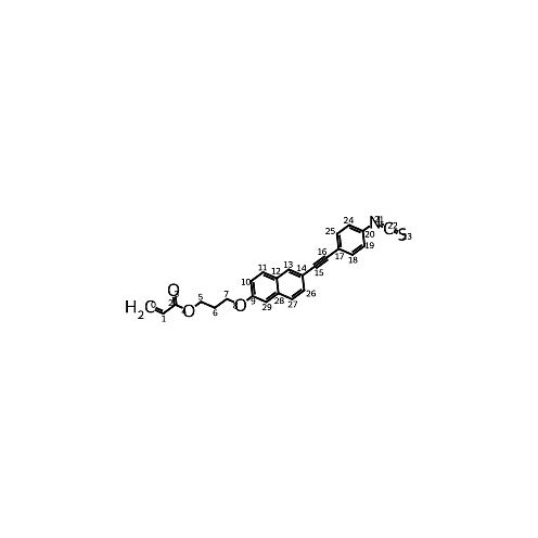 C=CC(=O)OCCCOc1ccc2cc(C#Cc3ccc(N=C=S)cc3)ccc2c1